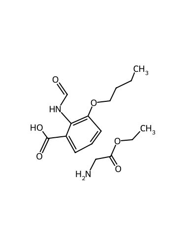 CCCCOc1cccc(C(=O)O)c1NC=O.CCOC(=O)CN